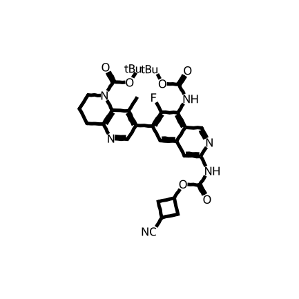 Cc1c(-c2cc3cc(NC(=O)OC4CC(C#N)C4)ncc3c(NC(=O)OC(C)(C)C)c2F)cnc2c1N(C(=O)OC(C)(C)C)CCC2